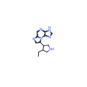 CCC1CNCC1c1cnc2cnc3[nH]cnc3n12